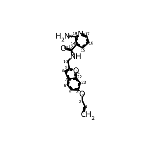 C=CCOc1ccc2cc(CNC(=O)c3cccnc3N)oc2c1